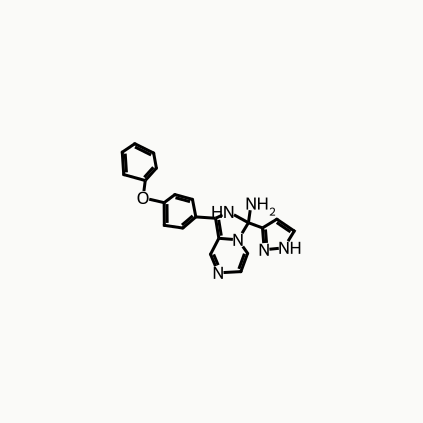 NC1(c2cc[nH]n2)NC(c2ccc(Oc3ccccc3)cc2)=C2C=NC=CN21